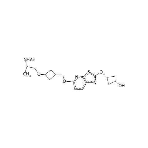 CC(=O)N[C@@H](C)CO[C@H]1C[C@H](COc2ccc3nc(O[C@H]4C[C@@H](O)C4)sc3n2)C1